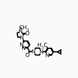 Cc1cc(C2CC2)cnc1N1CCN(C(=O)c2ccc(N3CCN(C)C3=O)nn2)CC1